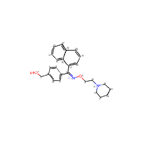 OCc1ccc(/C(=N/OCCN2CCCCC2)c2cccc3ccccc23)cc1